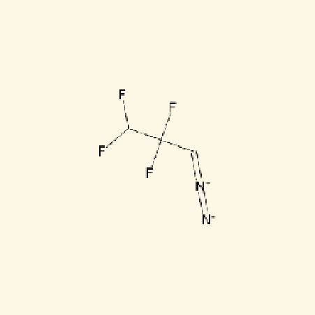 [N-]=[N+]=CC(F)(F)C(F)F